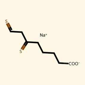 O=C([O-])CCCCC(=S)CC=S.[Na+]